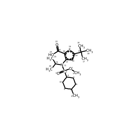 COP(=O)(C1CCC(C)CC1)N(c1cc(C(C)(C)C)sc1C(=O)O)C(C)C